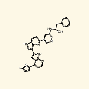 Cc1ccc(-c2ccnc3[nH]c(-c4n[nH]c5ccc(-c6cncc(NC(O)Cc7ccccc7)c6)nc45)cc23)s1